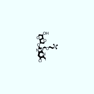 C[Si](C)(C)CCOCn1c(OC2COC3C(O)COC23)nc2cc(Cl)c(I)nc21